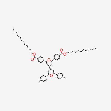 CCCCCCCCCCCCOC(=O)c1ccc(C2=CC(=C3C=C(c4ccc(C)cc4)OC(c4ccc(C)cc4)=C3)C=C(c3ccc(C(=O)OCCCCCCCCCCCC)cc3)O2)cc1